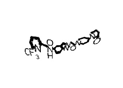 O=C(NC1C=Cc2nn(CC(=O)N3CCC(N4CCCC4=O)CC3)cc2C1)c1cccc(C(F)(F)F)n1